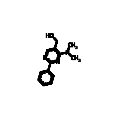 CN(C)c1nc(-c2ccccc2)ncc1CO